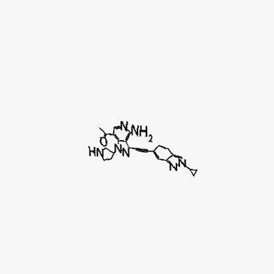 CC(=O)c1cnc(N)c2c(C#Cc3ccc4cn(C5CC5)nc4c3)nn([C@H]3CCNC3)c12